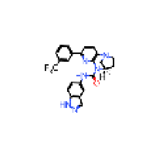 O=C(Nc1ccc2[nH]ncc2c1)N1c2nc(-c3cccc(C(F)(F)F)c3)ccc2N2CC[C@H]1C2